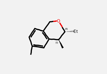 CC[C@H]1OCc2ccc(C)cc2[C@@H]1C